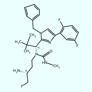 CNC(=O)N(CC[C@@H](N)CF)[C@@H](c1nc(-c2cc(F)ccc2F)cn1Cc1ccccc1)C(C)(C)C